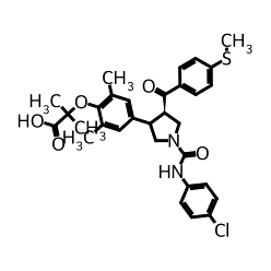 CSc1ccc(C(=O)[C@H]2CN(C(=O)Nc3ccc(Cl)cc3)CC2c2cc(C)c(OC(C)(C)C(=O)O)c(C)c2)cc1